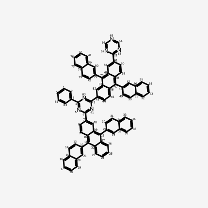 c1ccc(-c2nc(-c3ccc4c(-c5ccc6ccccc6c5)c5ccccc5c(-c5ccc6ccccc6c5)c4c3)nc(-c3ccc4c(-c5ccc6ccccc6c5)c5ccc(-c6ncncn6)cc5c(-c5ccc6ccccc6c5)c4c3)n2)cc1